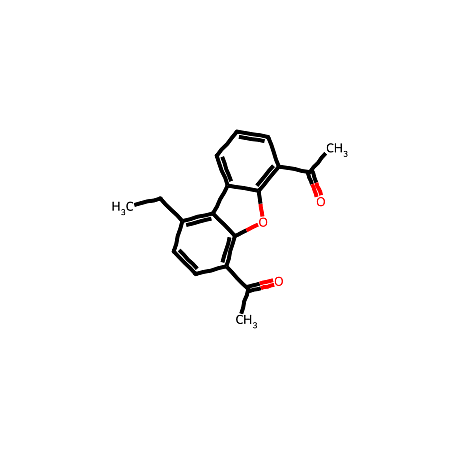 CCc1ccc(C(C)=O)c2oc3c(C(C)=O)cccc3c12